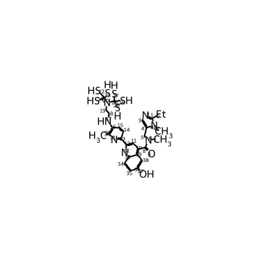 CCc1ncc(CN(C)C(=O)c2cc(-c3ccc(NCCN(C(S)(S)S)C(S)(S)S)c(C)n3)nc3ccc(O)cc23)n1C